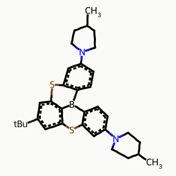 CC1CCN(c2ccc3c(c2)Sc2cc(C(C)(C)C)cc4c2B3c2ccc(N3CCC(C)CC3)cc2S4)CC1